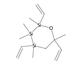 C=CC1(C)C[Si](C)(C=C)[Si](C)(C)[Si](C)(C=C)O1